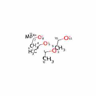 CC[O-].CC[O-].CC[O-].CC[O-].[Mo+4]